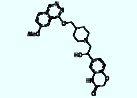 COc1ccc2cnnc(OCC3CCN(CC(O)c4ccc5c(c4)NC(=O)CO5)CC3)c2c1